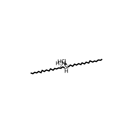 CCCCCCCCCCCCCCCCCC[SiH](CN)CCCCCCCCCCCCCCCCCC.Cl